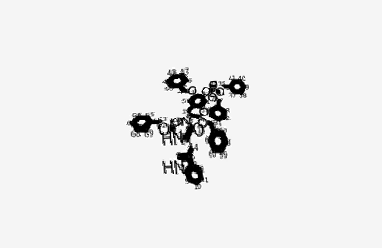 O=C(N[C@@H](Cc1c[nH]c2ccccc12)C(=O)N[C@@H](Cc1ccc(OP(=O)(OCc2ccccc2)OCc2ccccc2)c(OCc2ccccc2)c1)C(=O)OCc1ccccc1)OCc1ccccc1